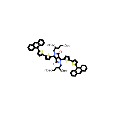 CCCCCCCCCCCCC(CCCCCCCCCC)CN1C(=O)C2=C(c3ccc(-c4ccc(C5c6ccccc6C=C6C=CCCC65)s4)s3)N(CC(CCCCCCCCCC)CCCCCCCCCCCC)C(=O)C2=C1c1ccc(-c2ccc(-c3c4ccccc4cc4ccccc34)s2)s1